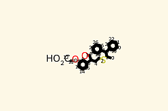 CC(SCCC1COc2c(OCC(=O)O)cccc21)C(c1ccccc1)c1ccccc1